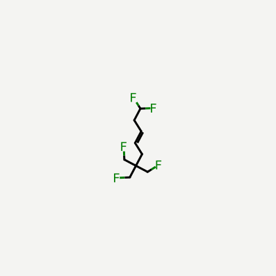 FCC(CF)(CF)CC=CCC(F)F